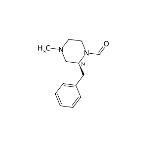 CN1CCN(C=O)[C@@H](Cc2ccccc2)C1